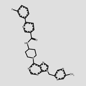 Cc1cnc(Cn2cnc3c(N4CCC(NC(=O)c5ccc(-c6cccc(F)c6)nc5)CC4)ncnc32)cn1